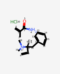 C=C(C)C(N)=O.C=CC(CC)(Cc1ccccc1)N(C)C.Cl